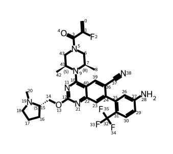 C=C(F)C(=O)N1C[C@@H](C)N(c2nc(OC[C@@H]3CCCN3C)nc3cc(-c4cc(N)ccc4C(F)(F)F)c(C#N)cc23)[C@@H](C)C1